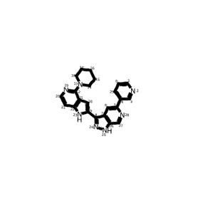 c1cncc(-c2cc3c(-c4cc5c(N6CCCCC6)nccc5[nH]4)n[nH]c3cn2)c1